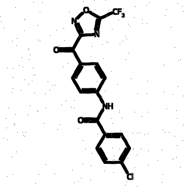 O=C(Nc1ccc(C(=O)c2noc(C(F)(F)F)n2)cc1)c1ccc(Cl)cc1